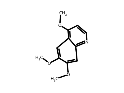 COc1cc2nccc(OC)c2cc1OC